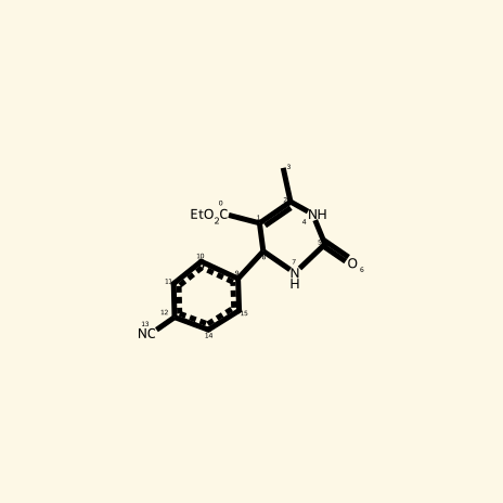 CCOC(=O)C1=C(C)NC(=O)NC1c1ccc(C#N)cc1